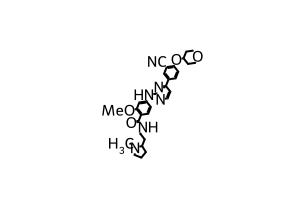 COc1cc(Nc2nccc(-c3ccc(OC4CCOCC4)c(C#N)c3)n2)ccc1C(=O)NCCC1CCCN1C